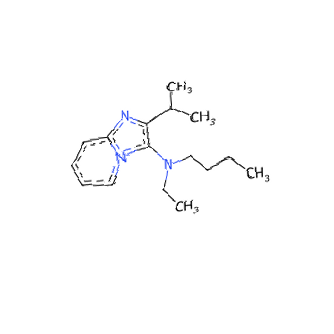 CCCCN(CC)c1c(C(C)C)nc2ccccn12